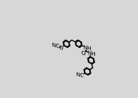 N#COc1ccc(Cc2ccc(NC(=O)Nc3ccc(Cc4ccc(C#N)cc4)cc3)cc2)cc1